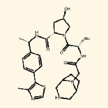 Cc1ncsc1-c1ccc([C@H](C)NC(=O)[C@@H]2C[C@@H](O)CN2C(=O)[C@@H](NC(=O)CN2C3CCC2CNC3)C(C)(C)C)cc1